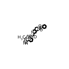 CC(C)n1cnnc1-c1cccc(NC(=O)c2cc3c(cn2)CCN(S(=O)(=O)c2ccccc2)C3)n1